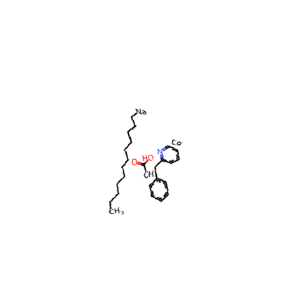 CC(=O)O.CCCCCCCCCCC[CH2][Na].[Co].c1ccc(Cc2ccccn2)cc1